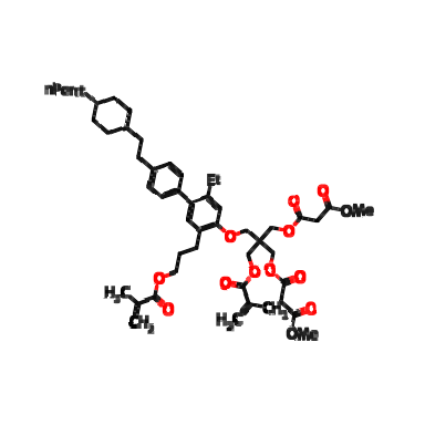 C=C(C)C(=O)OCCCc1cc(-c2ccc(CCC3CCC(CCCCC)CC3)cc2)c(CC)cc1OCC(COC(=O)CC(=O)OC)(COC(=O)CC(=O)OC)COC(=O)C(=C)C